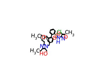 CCCc1nc(CC)c(CO)n1Cc1ccc(-c2ccccc2S(=O)(=O)Nc2noc(C)c2Cl)c(COCC)c1